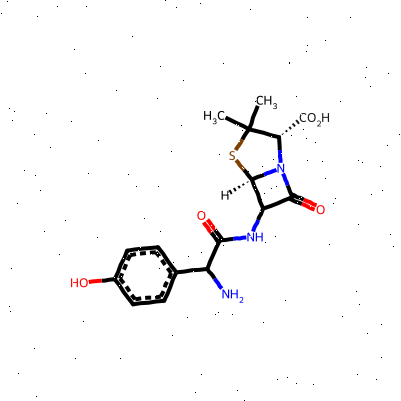 CC1(C)S[C@@H]2C(NC(=O)C(N)c3ccc(O)cc3)C(=O)N2[C@H]1C(=O)O